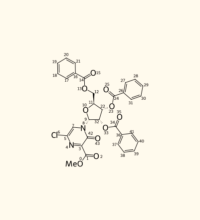 COC(=O)c1nc(Cl)cn([C@@H]2O[C@@H](COC(=O)c3ccccc3)[C@H](OC(=O)c3ccccc3)[C@@H]2OC(=O)c2ccccc2)c1=O